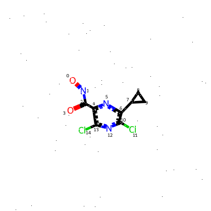 O=NC(=O)c1nc(C2CC2)c(Cl)nc1Cl